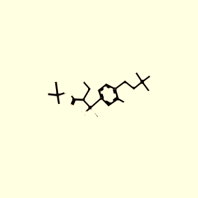 CCC(C(=O)OC(C)(C)C)[C@@](C)(N)c1ccc(CCC(C)(C)C)c(Cl)c1